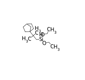 CCO[SiH](CC(C)(C)C12CCC(CC1)C2)OCC